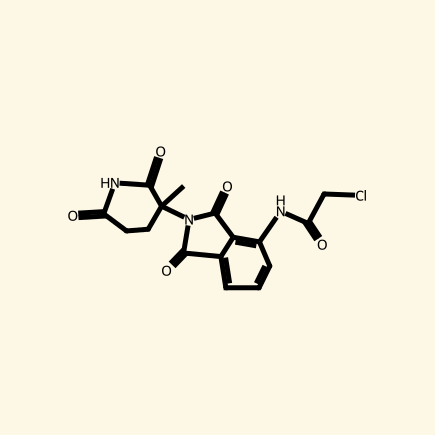 CC1(N2C(=O)c3cccc(NC(=O)CCl)c3C2=O)CCC(=O)NC1=O